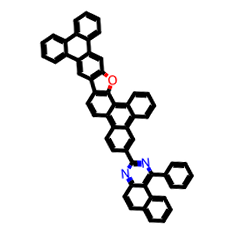 c1ccc(-c2nc(-c3ccc4c(c3)c3ccccc3c3c4ccc4c5cc6c7ccccc7c7ccccc7c6cc5oc43)nc3ccc4ccccc4c23)cc1